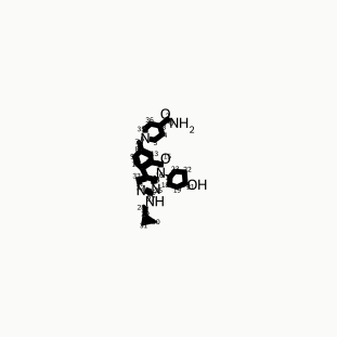 NC(=O)C1CCN(Cc2ccc3c(c2)c(=O)n([C@H]2CC[C@H](O)CC2)c2nc(NCC4CC4)ncc32)CC1